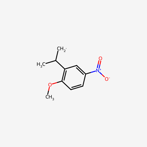 [CH2]C(C)c1cc([N+](=O)[O-])ccc1OC